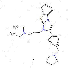 CCN(CC)CCCN1C(c2ccc(CN3CCCC3)cc2)=CN2c3ccccc3SC12